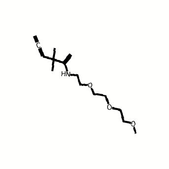 C=C=CC(C)(C)C(=C)NCCOCCOCCOC